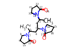 CC(CC(CC(C)N1CCCC1=O)N1CCCC1=O)N1CCCC1=O